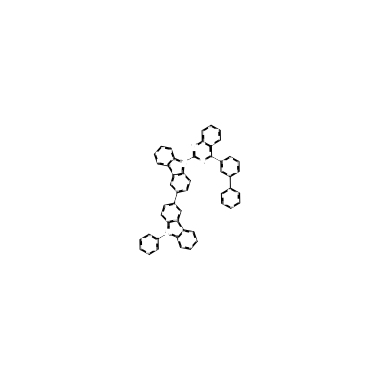 c1ccc(-c2cccc(-c3nc(-n4c5ccccc5c5cc(-c6ccc7c(c6)c6ccccc6n7-c6ccccc6)ccc54)nc4ccccc34)c2)cc1